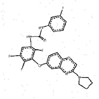 O=C(Nc1cccc(F)c1)Nc1cc(F)c(F)c(Oc2ccc3ncc(N4CCCC4)nc3c2)c1F